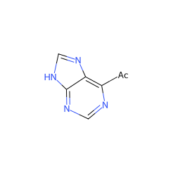 CC(=O)c1ncnc2[nH]cnc12